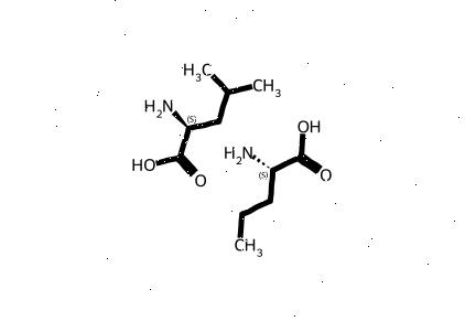 CC(C)C[C@H](N)C(=O)O.CCC[C@H](N)C(=O)O